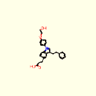 O=C(O)CCc1ccc2c(c1)c(CCc1ccccc1)cn2-c1ccc(OCCO)cc1